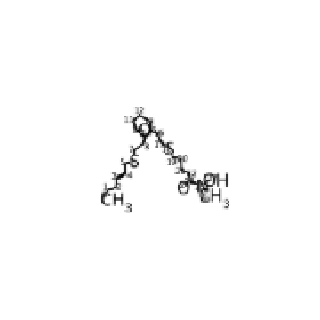 CCCC=CCSCCC1C2CCC(O2)C1CCSCCCCC(=O)N(C)O